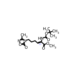 COC(=O)/C(=C/CCCn1c(C)noc1=O)NC(=O)OC(C)(C)C